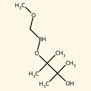 COCBOC(C)(C)C(C)(C)O